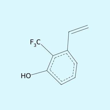 C=Cc1cccc(O)c1C(F)(F)F